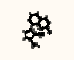 Fc1ccc2ccccc2n1.N=C1N=CC=C1N